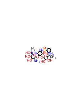 C[C@H](N)[C@H]1O[C@@H](OC2C(O)[C@H](NS(=O)(=O)c3ccccc3)CC(N)[C@H]2O[C@H]2OC([C@@H](C)O)[C@@H](O)C(O)C2N)C(O)C1O